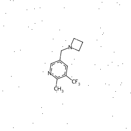 Cc1ncc(CN2CCC2)cc1C(F)(F)F